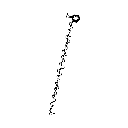 COc1ccccc1OOOOOOOOOOOOOOOOOOOOOOOOOOOO